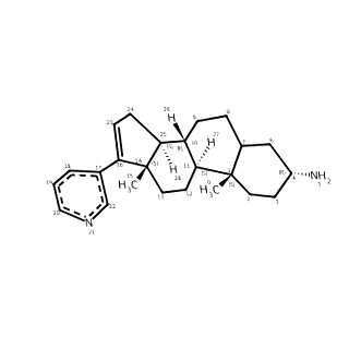 C[C@]12CC[C@@H](N)CC1CC[C@@H]1[C@@H]2CC[C@]2(C)C(c3cccnc3)=CC[C@@H]12